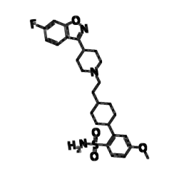 COc1ccc(S(N)(=O)=O)c(C2CCC(CCN3CCC(c4noc5cc(F)ccc45)CC3)CC2)c1